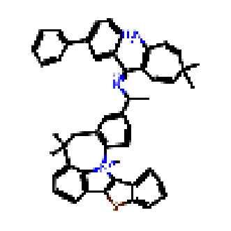 CC(/N=C(\C1=C(N)C=CC(C)(C)C=C1)c1cccc(-c2ccccc2)c1)c1ccc2c(c1)CC(C)(C)c1cccc3c1[N+]2(C)c1c-3sc2ccccc12